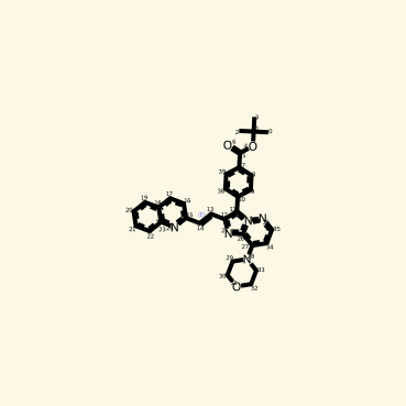 CC(C)(C)OC(=O)c1ccc(-c2c(/C=C/c3ccc4ccccc4n3)nc3c(N4CCOCC4)ccnn23)cc1